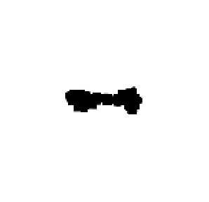 COC(=O)N(C)[C@H](C(=O)N1C[C@@H](C)C[C@H]1c1nc2cc(-c3ccc(-c4ccc5[nH]c([C@@H]6C[C@H](C)CN6C(=O)[C@@H](Nc6ncccn6)C(C)C)nc5c4)cc3)ccc2[nH]1)C(C)C